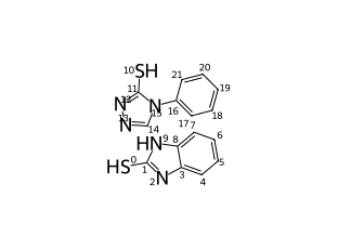 Sc1nc2ccccc2[nH]1.Sc1nncn1-c1ccccc1